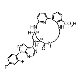 CN1CCCNc2c(C(=O)O)cccc2-c2cccc(n2)N[C@H]2C[C@@H](C1=O)N(c1ncnc3c1cnn3-c1ccc(F)cc1F)C2